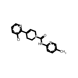 Cc1ccc(NC(=O)N2CC=C(c3ncccc3Cl)CC2)nc1